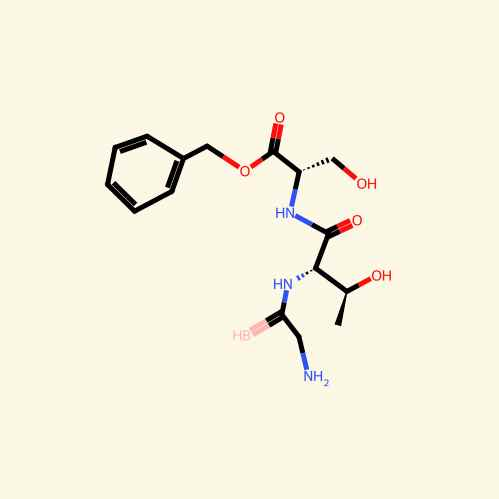 B=C(CN)N[C@H](C(=O)N[C@@H](CO)C(=O)OCc1ccccc1)[C@H](C)O